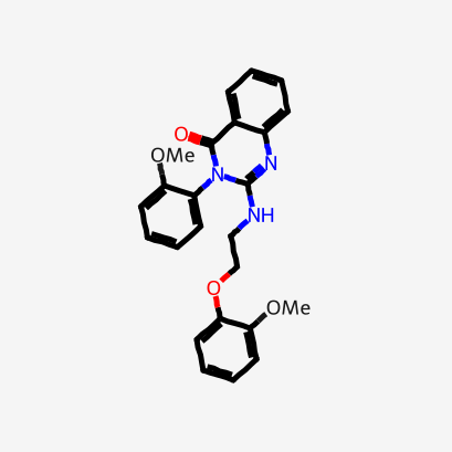 COc1ccccc1OCCNc1nc2ccccc2c(=O)n1-c1ccccc1OC